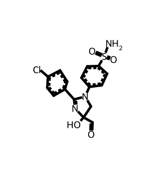 NS(=O)(=O)c1ccc(N2CC(O)(C=O)N=C2c2ccc(Cl)cc2)cc1